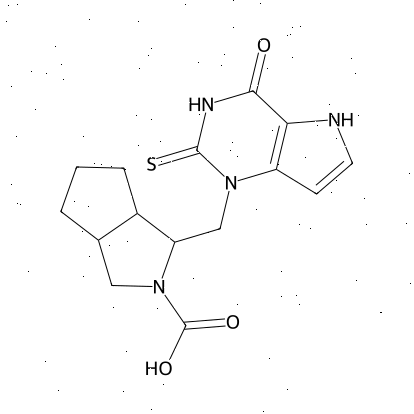 O=C(O)N1CC2CCCC2C1Cn1c(=S)[nH]c(=O)c2[nH]ccc21